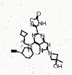 C#C[C@H]1CC[C@H](Cn2c(N3CC(C)(O)C3)nc3nc(-c4noc(=O)[nH]4)nc(N[C@H](C)C4CCC4)c32)CC1